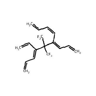 C=C/C=C\C(=C/C=C)C(/C(C=C)=C/C=C)(C(F)(F)F)C(F)(F)F